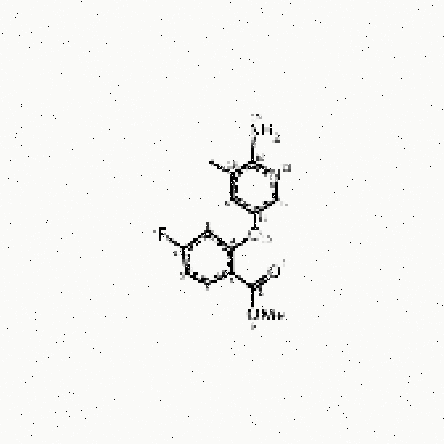 COC(=O)c1ccc(F)cc1Oc1cnc(N)c(C)c1